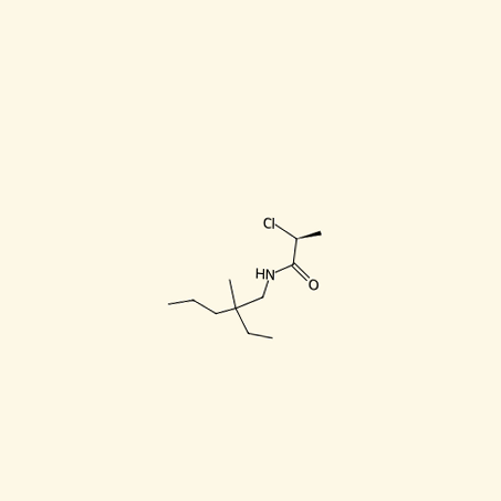 CCCC(C)(CC)CNC(=O)[C@H](C)Cl